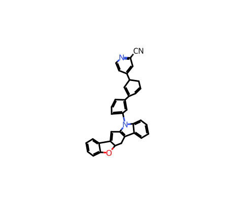 N#Cc1cc(C2C=C(c3cccc(-n4c5c(c6ccccc64)CC4Oc6ccccc6C4=C5)c3)C=CC2)ccn1